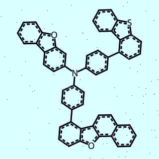 c1ccc2c(c1)ccc1c2oc2cccc(-c3ccc(N(c4ccc(-c5cccc6sc7ccccc7c56)cc4)c4ccc5c(c4)oc4ccccc45)cc3)c21